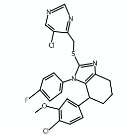 COc1cc(C2CCCc3nc(SCc4ncncc4Cl)n(-c4ccc(F)cc4)c32)ccc1Cl